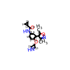 Cc1noc(C)c1-c1cc(NC(=O)C2CC2)ccc1OC1CNC1